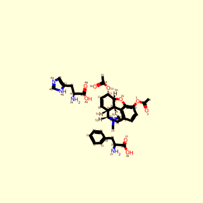 CC(=O)Oc1ccc2c3c1O[C@H]1[C@@H](OC(C)=O)C=C[C@H]4[C@@H](C2)N(C)CC[C@@]341.NC(Cc1ccccc1)C(=O)O.N[C@@H](Cc1cnc[nH]1)C(=O)O